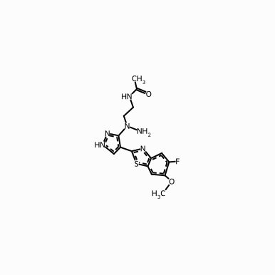 COc1cc2sc(-c3c[nH]nc3N(N)CCNC(C)=O)nc2cc1F